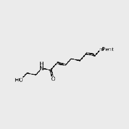 CCCCCC=CCCC=CC(=O)NCCO